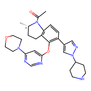 CC(=O)N1c2ccc(-c3cnn(C4CCNCC4)c3)c(Oc3cc(N4CCOCC4)ncn3)c2CC[C@@H]1C